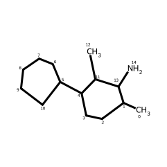 CC1CCC(C2CCCCC2)C(C)C1N